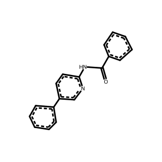 O=C(Nc1ccc(-c2ccccc2)cn1)c1ccccc1